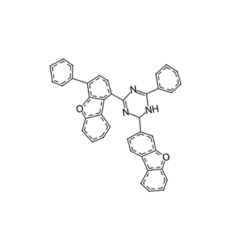 c1ccc(C2=NC(c3ccc(-c4ccccc4)c4oc5ccccc5c34)=NC(c3ccc4c(c3)oc3ccccc34)N2)cc1